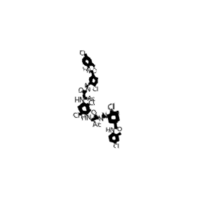 CC(=O)C(Nc1cc(Cl)c(NC(C(C)=O)C(=O)N=Nc2cc(C(=O)Nc3ccc(Cl)cc3C)ccc2Cl)cc1Cl)C(=O)N=Nc1cc(C(=O)Nc2ccc(Cl)cc2C)ccc1Cl